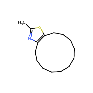 Cc1nc2c(s1)CCCCCCCCCCC2